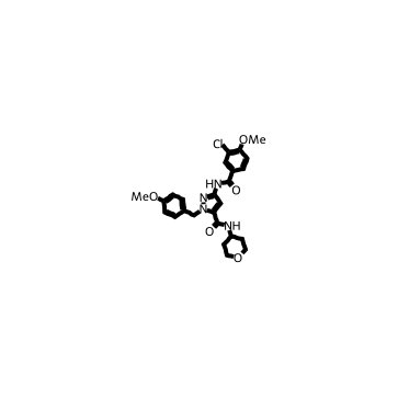 COc1ccc(Cn2nc(NC(=O)c3ccc(OC)c(Cl)c3)cc2C(=O)NC2CCOCC2)cc1